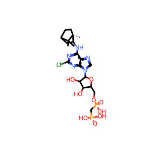 CC1(C)C2CC[C@@]1(C)C(Nc1nc(Cl)nc3c1ncn3C1OC(COP(=O)(O)CP(=O)(O)O)C(O)C1O)C2